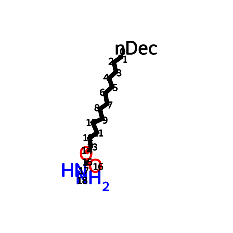 CCCCCCCCCCCCCCCCCCCCCCCOC(=O)NN